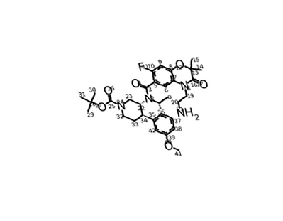 CCN(C(=O)c1cc2c(cc1F)OC(C)(C)C(=O)N2CCN)[C@H]1CN(C(=O)OC(C)(C)C)CC[C@@H]1c1cccc(OC)c1